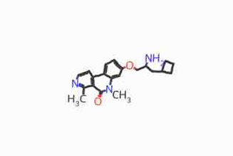 Cc1nccc2c1c(=O)n(C)c1cc(OCC(N)CC3CCC3)ccc21